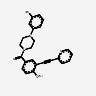 COc1ccc(C(=O)N2CCN(c3cccc(O)c3)CC2)cc1C#Cc1ccccn1